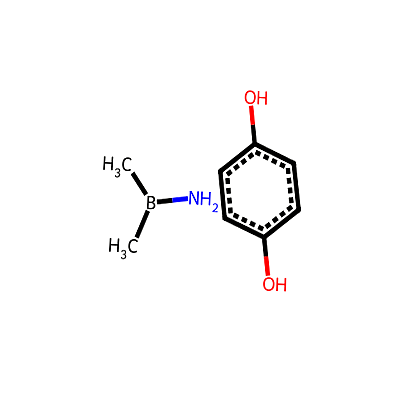 CB(C)N.Oc1ccc(O)cc1